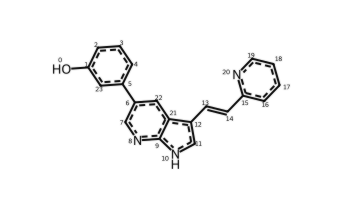 Oc1cccc(-c2cnc3[nH]cc(C=Cc4ccccn4)c3c2)c1